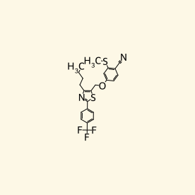 CCCCc1nc(-c2ccc(C(F)(F)F)cc2)sc1COc1ccc(C#N)c(SC)c1